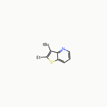 CCc1sc2cccnc2c1C(C)(C)C